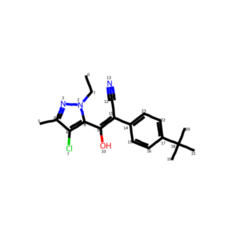 CCn1nc(C)c(Cl)c1/C(O)=C(\C#N)c1ccc(C(C)(C)C)cc1